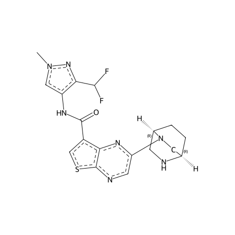 Cn1cc(NC(=O)c2csc3ncc(N4C[C@H]5CC[C@@H]4CN5)nc23)c(C(F)F)n1